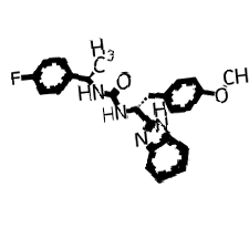 COc1ccc(C[C@@H](NC(=O)N[C@H](C)c2ccc(F)cc2)c2nc3ccccc3[nH]2)cc1